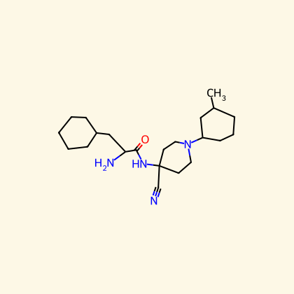 CC1CCCC(N2CCC(C#N)(NC(=O)C(N)CC3CCCCC3)CC2)C1